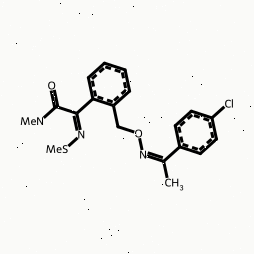 CNC(=O)C(=NSC)c1ccccc1CON=C(C)c1ccc(Cl)cc1